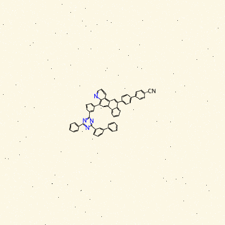 N#Cc1ccc(-c2ccc(-c3cc4c5cccnc5c(-c5cccc(-c6nc(-c7ccccc7)nc(-c7cccc(-c8ccccc8)c7)n6)c5)cc4c4ccccc34)cc2)cc1